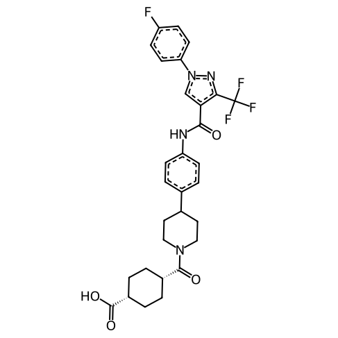 O=C(Nc1ccc(C2CCN(C(=O)[C@H]3CC[C@@H](C(=O)O)CC3)CC2)cc1)c1cn(-c2ccc(F)cc2)nc1C(F)(F)F